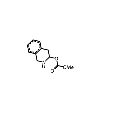 COC(=O)OC1Cc2ccccc2CN1